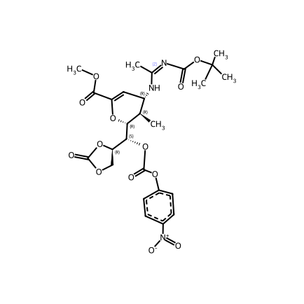 COC(=O)C1=C[C@H](N/C(C)=N\C(=O)OC(C)(C)C)[C@@H](C)[C@H]([C@H](OC(=O)Oc2ccc([N+](=O)[O-])cc2)[C@H]2COC(=O)O2)O1